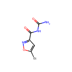 CCc1cc(C(=O)NC(N)=O)no1